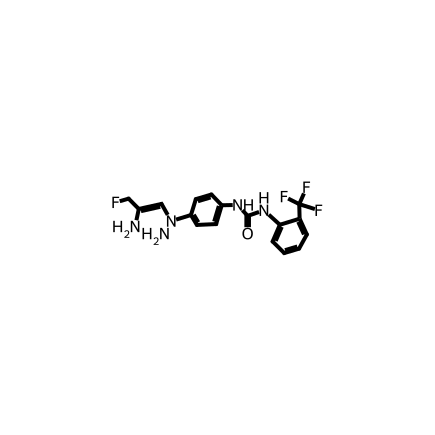 N/C(=C\N(N)c1ccc(NC(=O)Nc2ccccc2C(F)(F)F)cc1)CF